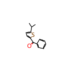 CC(C)c1ccc(C(=O)c2ccccc2)s1